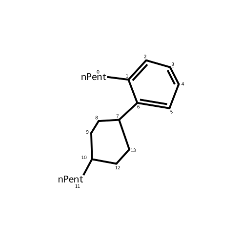 CCCCCc1c[c]ccc1C1CCC(CCCCC)CC1